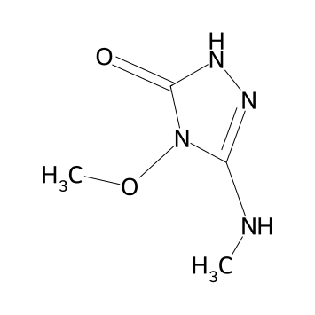 CNc1n[nH]c(=O)n1OC